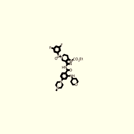 CCOC(=O)n1nc(NC(=O)c2ccc(N3CCN(C)CC3)cc2NC2CCOCC2)c2c1CCN([S+]([O-])c1cc(F)cc(F)c1)C2